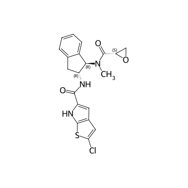 CN(C(=O)[C@@H]1CO1)[C@@H]1c2ccccc2C[C@H]1NC(=O)c1cc2cc(Cl)sc2[nH]1